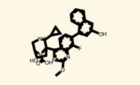 COc1nc(C23CC(O)C(CNC2C2CC2)N3C(=O)O)c2ccc(-c3cc(O)cc4ccccc34)c(F)c2n1